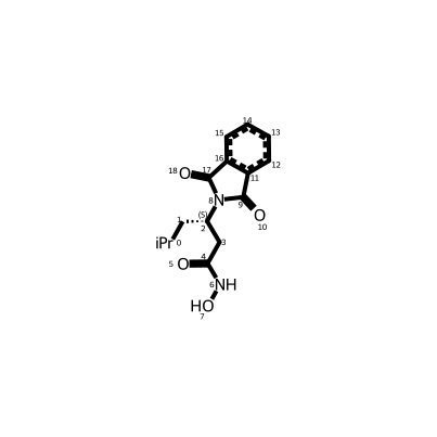 CC(C)C[C@@H](CC(=O)NO)N1C(=O)c2ccccc2C1=O